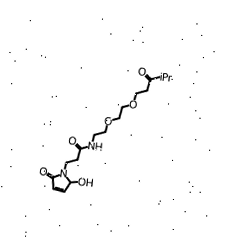 CC(C)C(=O)CCOCCOCCNC(=O)CCN1C(=O)C=CC1O